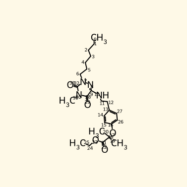 CCCCCCCn1nc(NCCc2ccc(OC(C)(C)C(=O)OCC)cc2)c(=O)n(C)c1=O